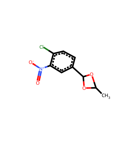 CC1OC(c2ccc(Cl)c([N+](=O)[O-])c2)O1